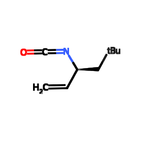 C=C[C@H](CC(C)(C)C)N=C=O